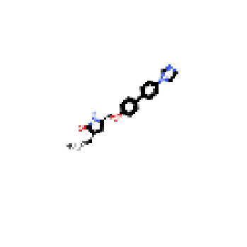 O=C(O)C[C@@H]1C[C@@H](COc2ccc(-c3ccc(N4C=NCC4)cc3)cc2)NC1=O